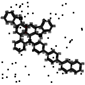 c1ccc(N(c2ccc(-c3ccc(-c4ccc5ccccc5c4)cc3)cc2)c2cccc3c2oc2ccccc23)c(-c2ccc3oc4ccccc4c3c2)c1